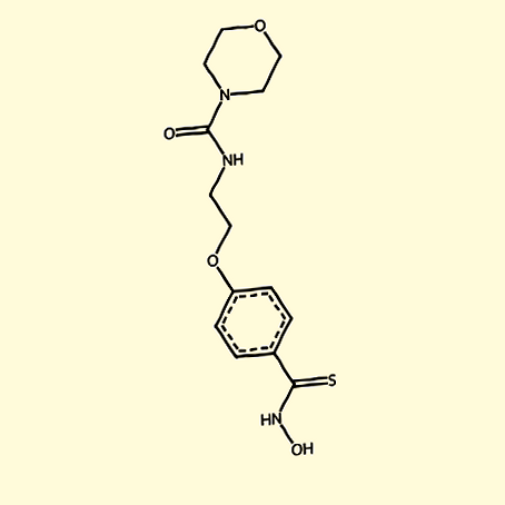 O=C(NCCOc1ccc(C(=S)NO)cc1)N1CCOCC1